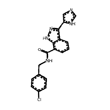 O=C(NCc1ccc(Cl)cc1)c1cccc2c(-c3cnc[nH]3)n[nH]c12